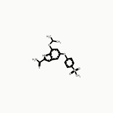 CC(C)Oc1cc(Oc2ccc(S(C)(=O)=O)cc2)cc2cc(C(N)=S)[nH]c12